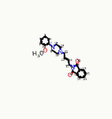 COc1ccccc1N1CCN(C/C=C/CN2C(=O)c3ccccc3C2=O)CC1